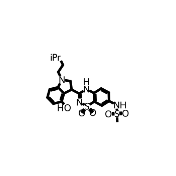 CC(C)CCN1CC(C2=NS(=O)(=O)c3cc(NS(C)(=O)=O)ccc3N2)c2c(O)cccc21